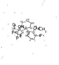 COc1c(F)cccc1C1(CC(O)(C=O)C(F)(F)F)CCCCC1